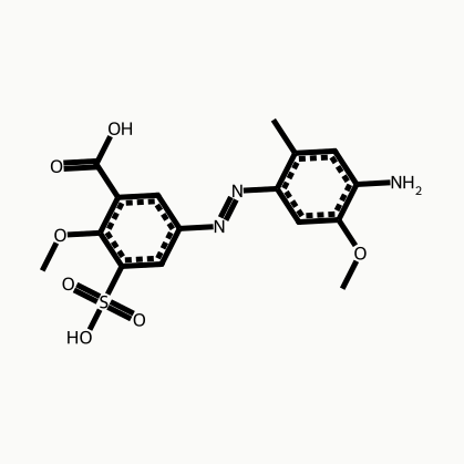 COc1cc(N=Nc2cc(C(=O)O)c(OC)c(S(=O)(=O)O)c2)c(C)cc1N